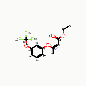 CCOC(=O)/C=C(/C)Oc1cccc(OC(F)(F)F)c1